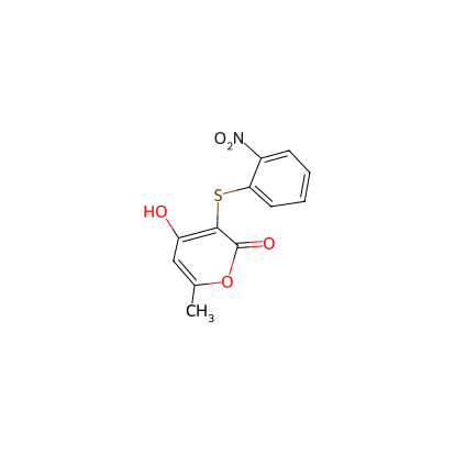 Cc1cc(O)c(Sc2ccccc2[N+](=O)[O-])c(=O)o1